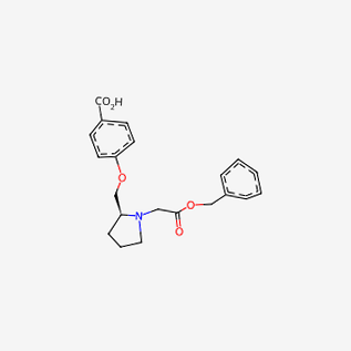 O=C(CN1CCC[C@H]1COc1ccc(C(=O)O)cc1)OCc1ccccc1